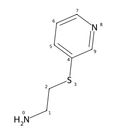 NCCSc1cccnc1